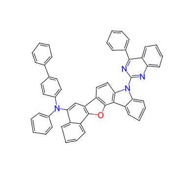 c1ccc(-c2ccc(N(c3ccccc3)c3cc4c5ccc6c(c7ccccc7n6-c6nc(-c7ccccc7)c7ccccc7n6)c5oc4c4ccccc34)cc2)cc1